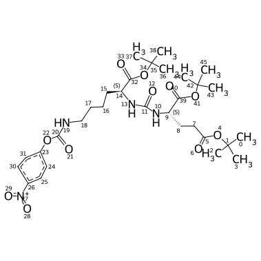 CC(C)(C)OC(=O)CC[C@H](NC(=O)N[C@@H](CCCCNC(=O)Oc1ccc([N+](=O)[O-])cc1)C(=O)OC(C)(C)C)C(=O)OC(C)(C)C